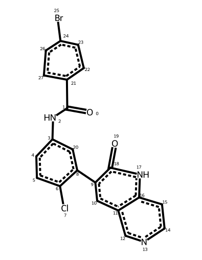 O=C(Nc1ccc(Cl)c(-c2cc3cnccc3[nH]c2=O)c1)c1ccc(Br)cc1